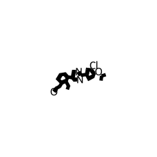 CCc1c(CC=O)cccc1-c1cnc(-c2ccc(OC(C)C)c(Cl)c2)nc1